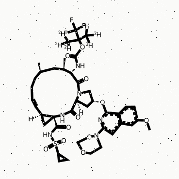 [2H]C([2H])([2H])C(OC(=O)N[C@@H]1C(=O)N2C[C@H](Oc3nc(N4CCOCC4)cc4cc(OC)ccc34)C[C@H]2C(=O)N[C@]2(C(=O)NS(=O)(=O)C3CC3)C[C@H]2/C=C\CC[C@@H](C)C[C@H]1C)(C([2H])([2H])[2H])C(F)(F)F